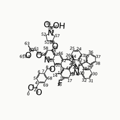 COC(=O)c1ccc(COc2c(-c3c(C)c(F)cc4nn(C(c5ccccc5)(c5ccccc5)c5ccccc5)cc34)c(C3CC3)cc3c(O[C@H]4CCN(C(=O)O)C4)cc(OC[C@H](C)OC)nc23)cc1